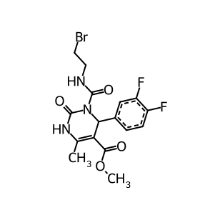 COC(=O)C1=C(C)NC(=O)N(C(=O)NCCBr)C1c1ccc(F)c(F)c1